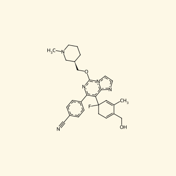 CC1=CC(F)(c2c(-c3ccc(C#N)cc3)nc(OC[C@@H]3CCCN(C)C3)n3ccnc23)CC=C1CO